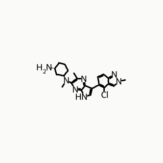 Cc1nc2c(-c3ccc4nn(C)cc4c3Cl)c[nH]c2nc1N(C)[C@@H]1CCC[C@@H](N)C1